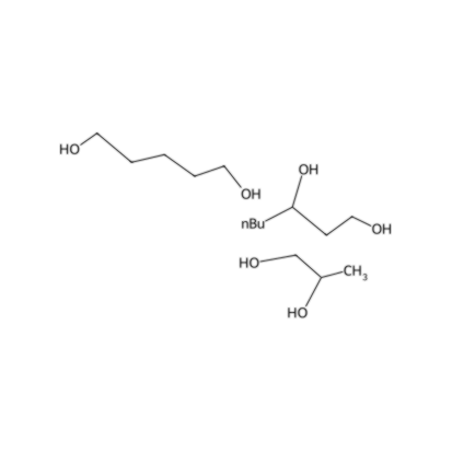 CC(O)CO.CCCCC(O)CCO.OCCCCCO